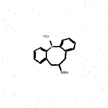 CNC1Cc2ccccc2N(C)c2ccccc2C1.Cl